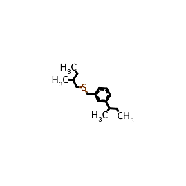 CCC(C)CSCc1cccc(C(C)CC)c1